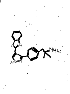 CC(=O)NC(C)(C)Cc1ccc(-c2n[nH]cc2-c2nc3ccccc3o2)cc1